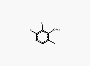 COc1c(C)c[c]c(F)c1F